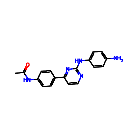 CC(=O)Nc1ccc(-c2ccnc(Nc3ccc(N)cc3)n2)cc1